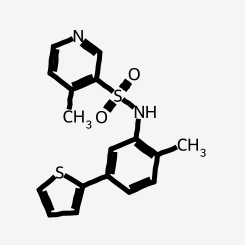 Cc1ccc(-c2cccs2)cc1NS(=O)(=O)c1cnccc1C